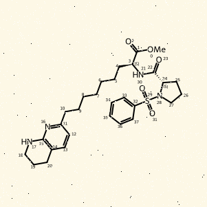 COC(=O)[C@H](CCCCCCCc1ccc2c(n1)NCCC2)NC(=O)[C@@H]1CCCN1S(=O)(=O)c1ccccc1